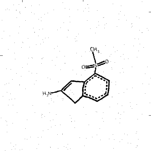 CS(=O)(=O)c1cccc2c1C=C(N)C2